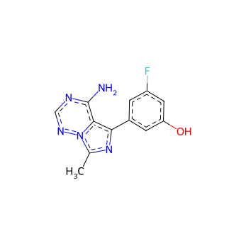 Cc1nc(-c2cc(O)cc(F)c2)c2c(N)ncnn12